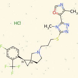 Cc1ncoc1-c1nnc(SCCCN2CC[C@]3(C[C@H]3c3ccc(F)cc3C(F)(F)F)C2)n1C.Cl